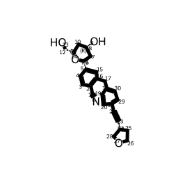 N#Cc1ccc([C@H]2C[C@@H](O)C[C@@H](CO)O2)cc1Cc1ccc(C#C[C@@H]2CCOC2)cc1